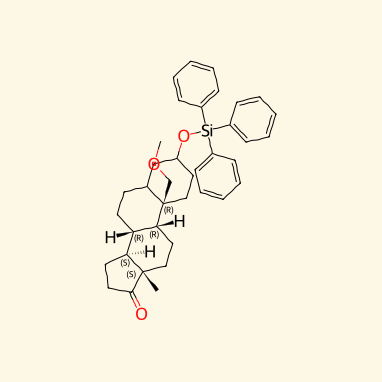 COC[C@]12CCC(O[Si](c3ccccc3)(c3ccccc3)c3ccccc3)CC1CC[C@@H]1[C@H]2CC[C@]2(C)C(=O)CC[C@@H]12